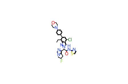 CCc1c(-c2ccc(N3CCOCC3)cc2)cc(Cl)c2cn(C(C(=O)Nc3nccs3)c3ncn4c3CC(F)C4)nc12